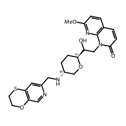 COc1ccc2ccc(=O)n(CC(O)[C@@H]3CC[C@@H](NCc4cc5c(cn4)OCCS5)CO3)c2n1